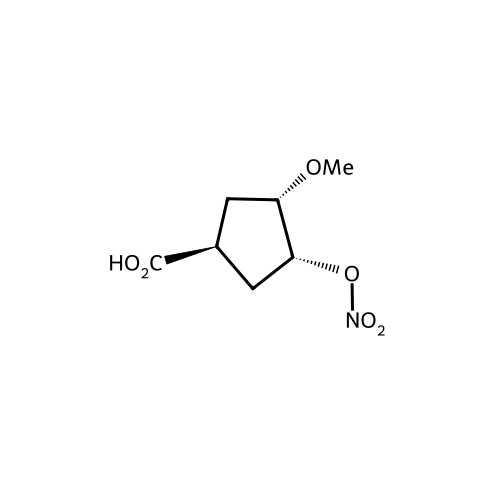 CO[C@H]1C[C@H](C(=O)O)C[C@H]1O[N+](=O)[O-]